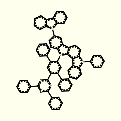 c1ccc(-c2nc(-c3ccccc3)nc(-c3cc(-c4ccccc4)c(-n4c5ccc(-n6c7ccccc7c7ccccc76)cc5c5ccc6c(c7ccccc7n6-c6ccccc6)c54)cc3-c3ccccc3)n2)cc1